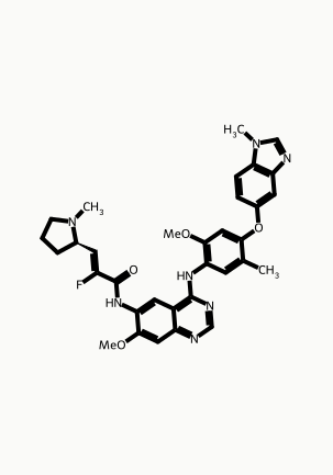 COc1cc2ncnc(Nc3cc(C)c(Oc4ccc5c(c4)ncn5C)cc3OC)c2cc1NC(=O)/C(F)=C/[C@H]1CCCN1C